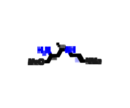 CN/C=C/CN[C@@H](C)C[C@H](N)COC